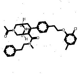 CC(=O)N1C[C@H]2CC(c3ccc(CCOc4cc(C)ccc4Cl)cc3)=C(C(=O)N(C)CCc3ccccc3)[C@@H](C1)N2